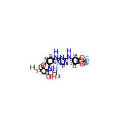 CC12CCC(O)C1(C)Nc1cc(Nc3ncnc(Nc4ccc5c(c4)OC(F)(F)O5)n3)ccc1O2